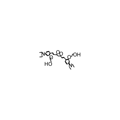 CCN(CC)c1ccc(C=CC(=O)CC(=O)C=Cc2ccc(N(CC)CC)cc2OCCO)c(OCCO)c1